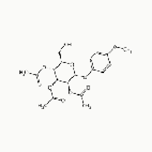 COc1ccc(OC2O[C@H](CO)[C@@H](OC(C)=O)[C@H](OC(C)=O)[C@@H]2OC(C)=O)cc1